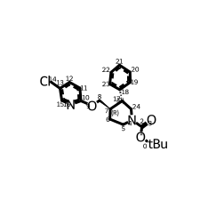 CC(C)(C)OC(=O)N1CC[C@@H](COc2ccc(Cl)cn2)[C@H](c2ccccc2)C1